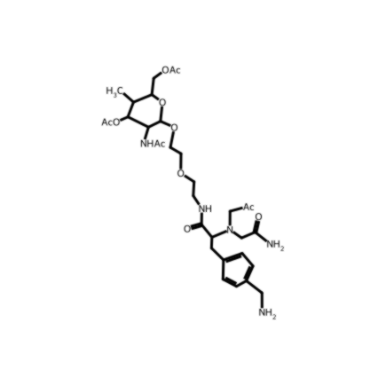 CC(=O)CN(CC(N)=O)C(Cc1ccc(CN)cc1)C(=O)NCCOCCOC1OC(COC(C)=O)C(C)C(OC(C)=O)C1NC(C)=O